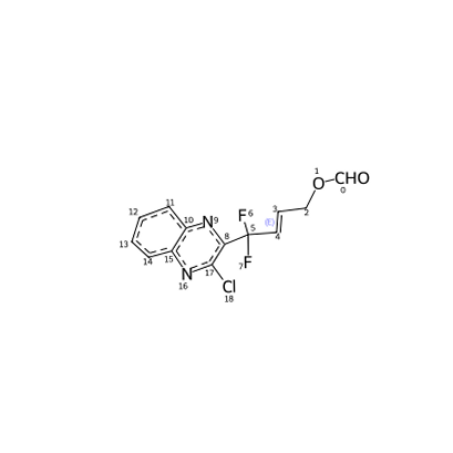 O=COC/C=C/C(F)(F)c1nc2ccccc2nc1Cl